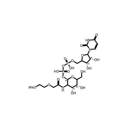 COCCOCC(=O)NC1[C@@H](OP(=O)(O)OP(=O)(O)OCC2OC(n3ccc(=O)[nH]c3=O)[C@H](O)[C@@H]2O)OC(CO)[C@H](O)[C@@H]1O